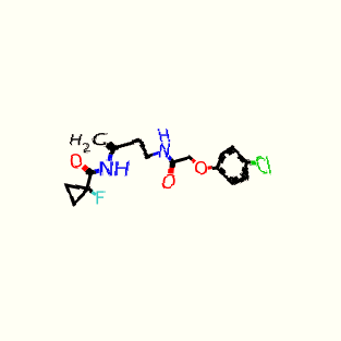 C=C(CCNC(=O)COc1ccc(Cl)cc1)NC(=O)C1(F)CC1